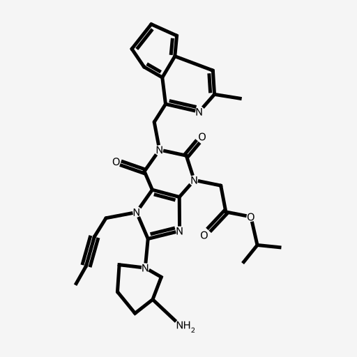 CC#CCn1c(N2CCCC(N)C2)nc2c1c(=O)n(Cc1nc(C)cc3ccccc13)c(=O)n2CC(=O)OC(C)C